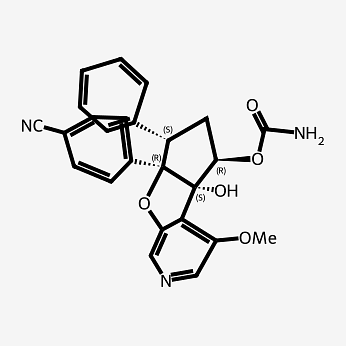 COc1cncc2c1[C@]1(O)[C@H](OC(N)=O)C[C@@H](c3ccccc3)[C@]1(c1ccc(C#N)cc1)O2